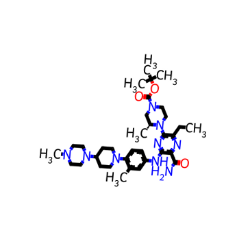 CCc1nc(C(N)=O)c(Nc2ccc(N3CCC(N4CCN(C)CC4)CC3)c(C)c2)nc1N1CCN(C(=O)OC(C)(C)C)C[C@H]1C